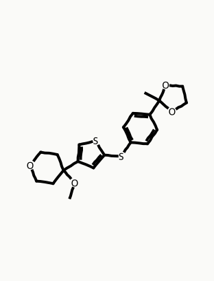 COC1(c2csc(Sc3ccc(C4(C)OCCO4)cc3)c2)CCOCC1